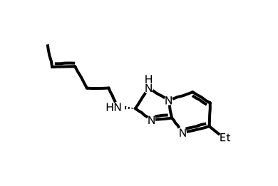 CC=CCCN[C@H]1N=C2N=C(CC)C=CN2N1